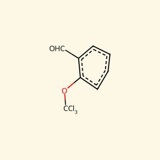 O=Cc1ccccc1OC(Cl)(Cl)Cl